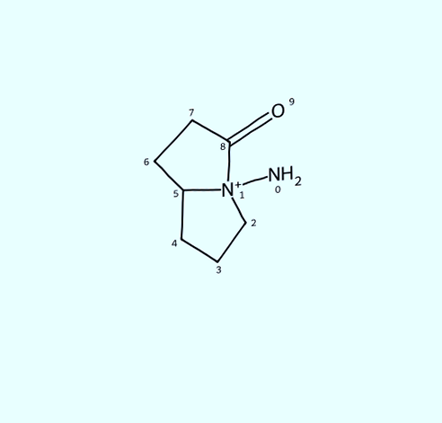 N[N+]12CCCC1CCC2=O